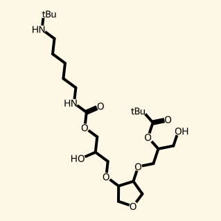 CC(C)(C)NCCCCCNC(=O)OCC(O)COC1COCC1OCC(CO)OC(=O)C(C)(C)C